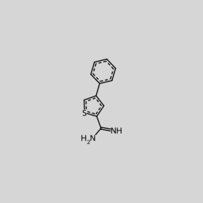 N=C(N)c1cc(-c2ccccc2)cs1